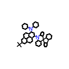 CC(C)(C)c1cc2ccc3c(N(c4ccccc4)c4ccccc4)cc(N4c5ccccc5C5(c6ccccc6-c6ccccc65)c5ccccc54)c4ccc(c1)c2c34